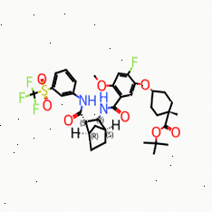 COc1cc(F)c(O[C@H]2CC[C@@](C)(C(=O)OC(C)(C)C)CC2)cc1C(=O)N[C@@H]1[C@H]2CC[C@H](C2)[C@@H]1C(=O)Nc1cccc(S(=O)(=O)C(F)(F)F)c1